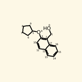 OCc1c(OC2CCCC2)ccc2ccccc12